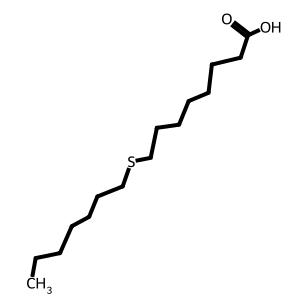 CCCCCCCSCCCCCCCC(=O)O